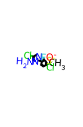 C[S+]([O-])c1c(Cl)ccc(-c2ncc(Cl)c(N)n2)c1F